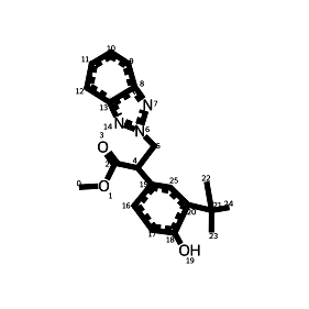 COC(=O)C(Cn1nc2ccccc2n1)c1ccc(O)c(C(C)(C)C)c1